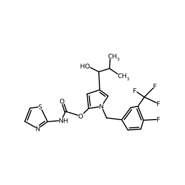 CC(C)C(O)c1cc(OC(=O)Nc2nccs2)n(Cc2ccc(F)c(C(F)(F)F)c2)c1